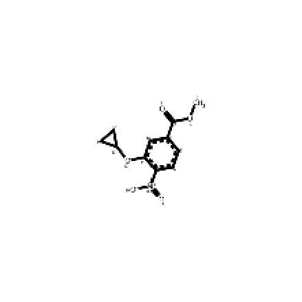 COC(=O)c1ccc([N+](=O)[O-])c(OC2CC2)c1